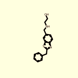 OCCNCc1ccc2nc(Cc3ccccc3)sc2c1